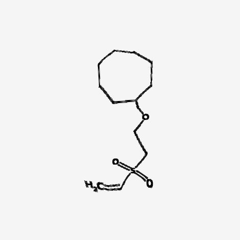 C=CS(=O)(=O)CCOC1CCCCCCC1